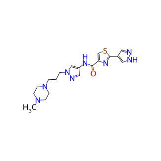 CN1CCN(CCCn2cc(NC(=O)c3csc(-c4cn[nH]c4)n3)cn2)CC1